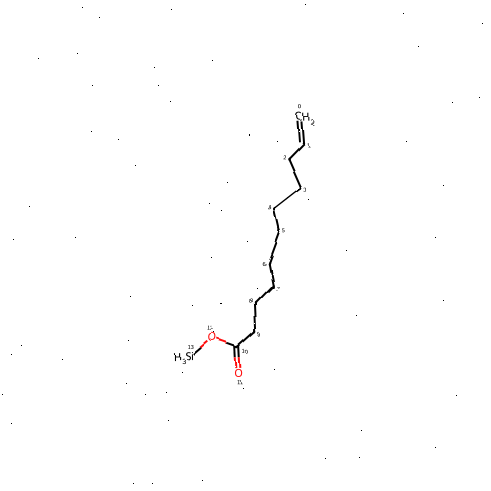 C=CCCCCCCCCC(=O)O[SiH3]